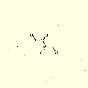 ClC[C@@H](Cl)[C@@H](Cl)CCl